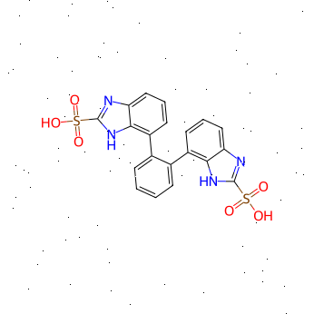 O=S(=O)(O)c1nc2cccc(-c3ccccc3-c3cccc4nc(S(=O)(=O)O)[nH]c34)c2[nH]1